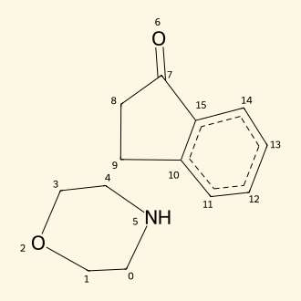 C1COCCN1.O=C1CCc2ccccc21